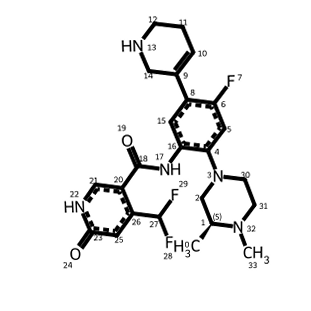 C[C@H]1CN(c2cc(F)c(C3=CCCNC3)cc2NC(=O)c2c[nH]c(=O)cc2C(F)F)CCN1C